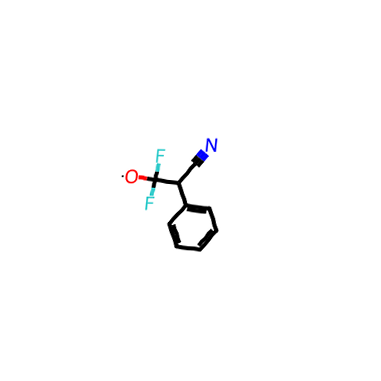 N#CC(c1ccccc1)C([O])(F)F